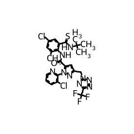 Cc1cc(Cl)cc(C(=S)NC(C)(C)C)c1NC(=O)c1cc(Cn2nnc(C(F)(F)F)n2)nn1-c1ncccc1Cl